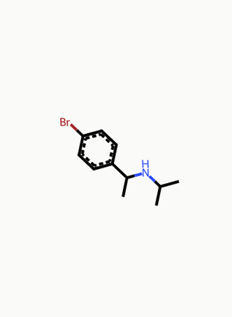 CC(C)NC(C)c1ccc(Br)cc1